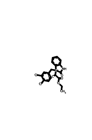 CCOC(=O)C(C)[N+]1(Cc2ccc(Cl)c(Cl)c2)C(=O)Nc2ccccc21